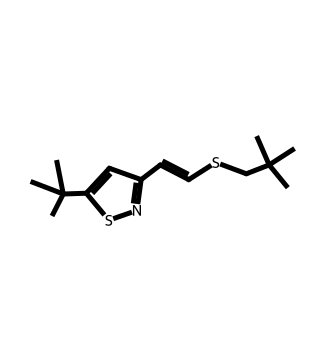 CC(C)(C)CSC=Cc1cc(C(C)(C)C)sn1